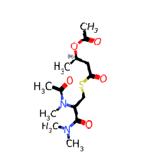 CC(=O)O[C@H](C)CC(=O)SCC(C(=O)N(C)C)N(C)C(C)=O